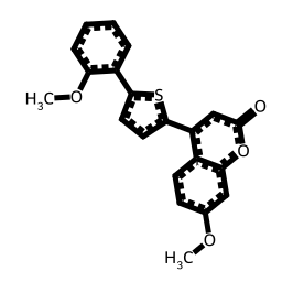 COc1ccc2c(-c3ccc(-c4ccccc4OC)s3)cc(=O)oc2c1